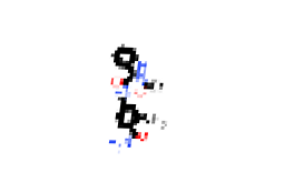 CCC(=O)NC(C(=O)NCc1ccc(C(N)=O)c(C)c1)c1ccccc1